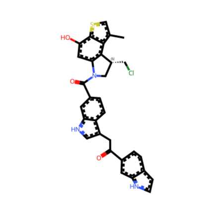 Cc1csc2c(O)cc3c(c12)[C@H](CCl)CN3C(=O)c1ccc2c(CC(=O)c3ccc4cc[nH]c4c3)c[nH]c2c1